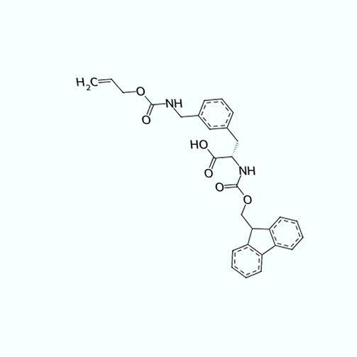 C=CCOC(=O)NCc1cccc(C[C@H](NC(=O)OCC2c3ccccc3-c3ccccc32)C(=O)O)c1